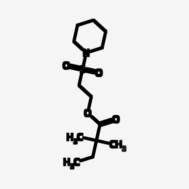 CCC(C)(C)C(=O)OCCS(=O)(=O)N1CCCCC1